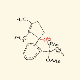 COC(C)(OC)c1ccccc1C1(O)CCC(C)=C1C